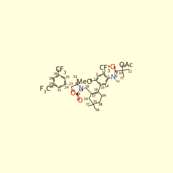 COc1cc(C(F)(F)F)c(N(C)C(=O)C(C)(C)OC(C)=O)cc1C1=C(CN2C(=O)O[C@H](c3cc(C(F)(F)F)cc(C(F)(F)F)c3)[C@@H]2C)CC(C)(C)CC1